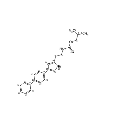 CC(C)COC(=O)NCCc1nc(-c2ccc(-c3ccccc3)cc2)c[nH]1